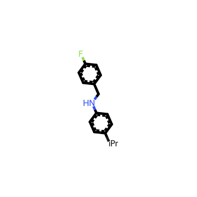 CC(C)c1ccc(NCc2ccc(F)cc2)cc1